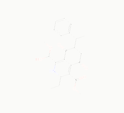 CCC1NC(C(O)OC)=C2C(=O)C(C(C)c3ccccc3)CC(=O)C2=C1C(=O)OC